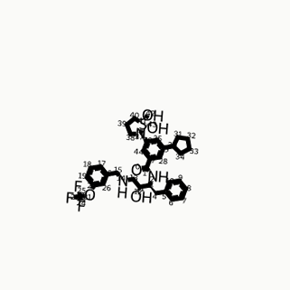 O=C(N[C@@H](Cc1ccccc1)[C@@H](O)CNCc1cccc(OC(F)(F)F)c1)c1cc(C2CCCC2)cc(N2CCCS2(O)O)c1